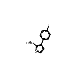 CCCCc1sccc1-c1ccc(I)cc1